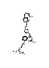 CC(C)OCCOc1cccc([C@H](CC(=O)O)CN2CC[C@@H](CCc3ccc4c(n3)NCCC4)C2)c1